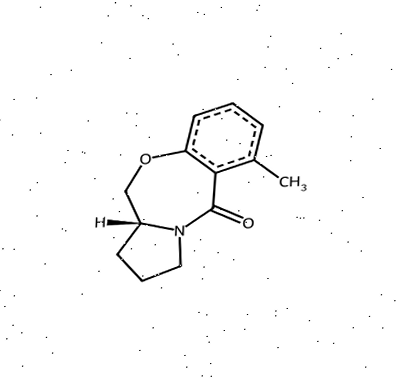 Cc1cccc2c1C(=O)N1CCC[C@@H]1CO2